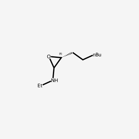 CCCCCC[C@H]1OC1NCC